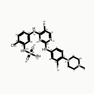 CN1CCN(c2ccc(Nc3ncc(F)c(Nc4ccc(Cl)c(NS(=O)(=O)C(C)(C)C)c4)n3)cc2F)CC1